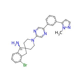 Cn1nccc1-c1cccc(-c2cnc(N3CCC4(CC3)Cc3c(Br)cccc3[C@H]4N)cn2)c1